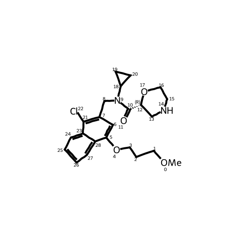 COCCCOc1cc(CN(C(=O)[C@H]2CNCCO2)C2CC2)c(Cl)c2ccccc12